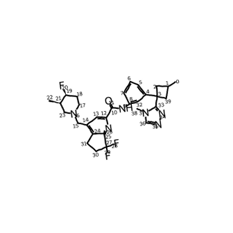 CC1CC(c2cccc(NC(=O)c3cc(CN4CC[C@H](F)[C@H](C)C4)c4c(n3)C(F)(F)CC4)c2)(c2nncn2C)C1